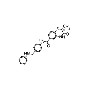 C[C@H]1Sc2ccc(C(=O)Nc3ccc(CNc4ccccc4)cc3)cc2NC1=O